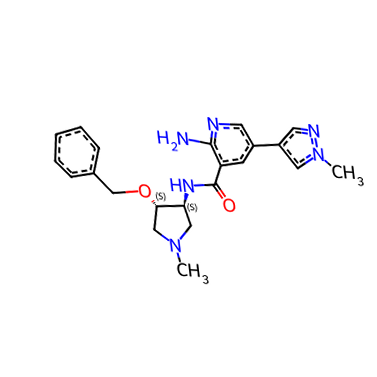 CN1C[C@H](NC(=O)c2cc(-c3cnn(C)c3)cnc2N)[C@@H](OCc2ccccc2)C1